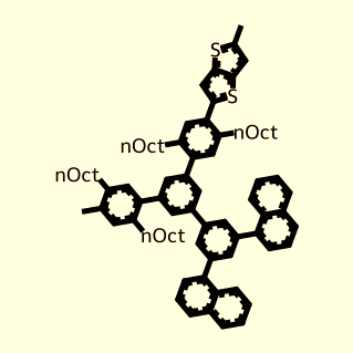 CCCCCCCCc1cc(-c2cc(-c3cc(-c4cccc5ccccc45)cc(-c4cccc5ccccc45)c3)cc(-c3cc(CCCCCCCC)c(-c4cc5sc(C)cc5s4)cc3CCCCCCCC)c2)c(CCCCCCCC)cc1C